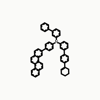 C1=C(c2ccc(-c3cccc(N(c4ccc(-c5ccc6ccc7c8ccccc8ccc7c6c5)cc4)c4cccc(-c5ccccc5)c4)c3)cc2)CCCC1